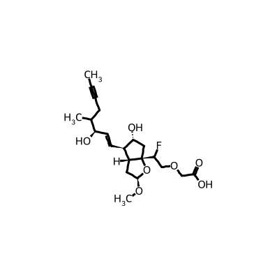 CC#CCC(C)[C@H](O)/C=C/[C@H]1[C@H](O)C[C@]2(C(F)COCC(=O)O)O[C@@H](OC)C[C@H]12